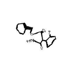 [NH]C(=O)C(C(=O)OCc1ccccc1)c1ccccc1F